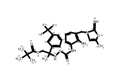 Cc1cn(Cc2cccc(NC(=O)SNC(C)(COC(=O)C(C)(C)C)c3cccc(C(F)(F)F)c3)c2N)c(=N)o1